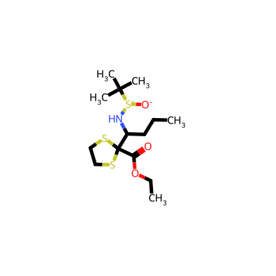 CCCC(N[S+]([O-])C(C)(C)C)C1(C(=O)OCC)SCCS1